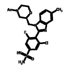 CC(=O)N1CCO[C@@H](Cn2c(-c3c(F)cc(S(=N)(N)=O)cc3Cl)nc3cc(C)ccc32)C1